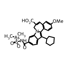 COc1ccc2c(c1)C=C(C(=O)O)Cn1c-2c(C2CCCCC2)c2ccc(C(=O)NS(=O)(=O)[As](C)C)cc21